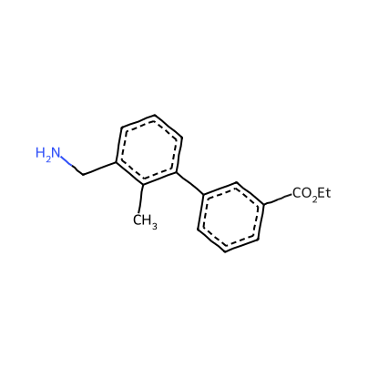 CCOC(=O)c1cccc(-c2cccc(CN)c2C)c1